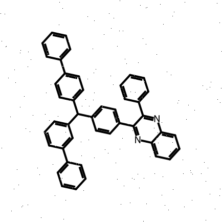 c1ccc(-c2ccc(C(c3ccc(-c4nc5ccccc5nc4-c4ccccc4)cc3)c3cccc(-c4ccccc4)c3)cc2)cc1